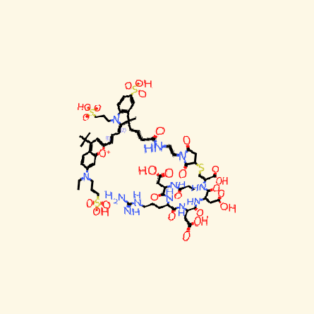 CCC(=O)NC(CC(=O)O)C(=O)NC(CCCNC(=N)N)C(=O)NC(CC(=O)O)C(=O)NC(CC(=O)O)C(=O)NC(CSC1CC(=O)N(CCNC(=O)CCCC2(C)/C(=C/C=C/c3cc(C(C)(C)C)c4ccc(N(CC)CCCS(=O)(=O)O)cc4[o+]3)N(CCCS(=O)(=O)O)c3ccc(S(=O)(=O)O)cc32)C1=O)C(=O)O